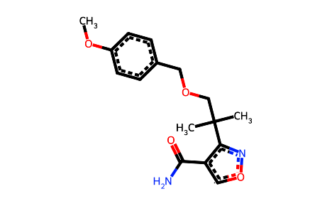 COc1ccc(COCC(C)(C)c2no[c]c2C(N)=O)cc1